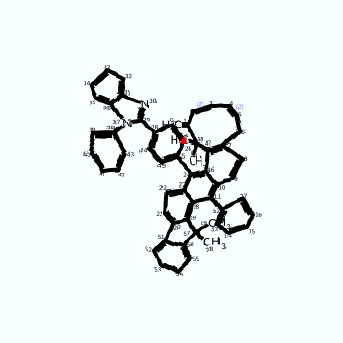 C=C1/C=C\C=C/Cc2ccc3c(-c4ccccc4)c4c5c(ccc4c(-c4ccc(-c6nc7ccccc7n6-c6ccccc6)cc4)c3c2C1(C)C)-c1ccccc1C5(C)C